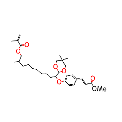 C=C(C)C(=O)OCC(C)CCCCCCCC(Oc1ccc(C=CC(=O)OC)cc1)C1OCC(C)(C)CO1